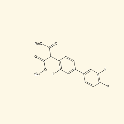 COC(=O)C(C(=O)OC(C)(C)C)c1ccc(-c2ccc(F)c(F)c2)cc1F